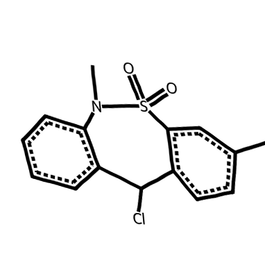 Cc1ccc2c(c1)S(=O)(=O)N(C)c1ccccc1C2Cl